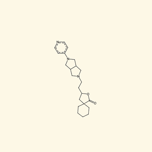 O=C1OC(CCN2CC3CN(c4ccncc4)CC3C2)CC12CCCCC2